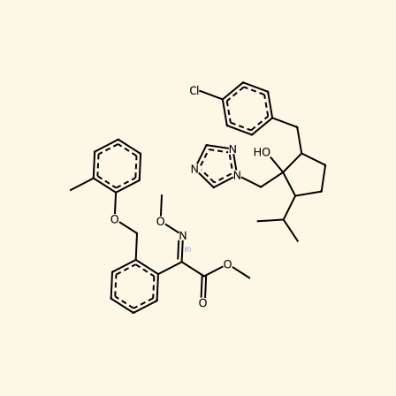 CC(C)C1CCC(Cc2ccc(Cl)cc2)C1(O)Cn1cncn1.CO/N=C(/C(=O)OC)c1ccccc1COc1ccccc1C